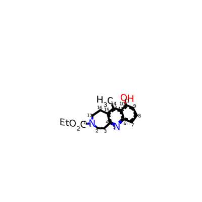 CCOC(=O)N1CCc2nc3cccc(O)c3c(C)c2CC1